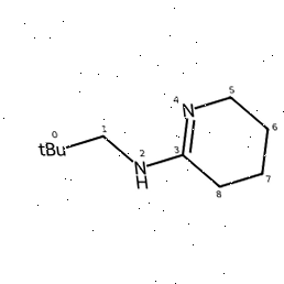 CC(C)(C)CNC1=NCCCC1